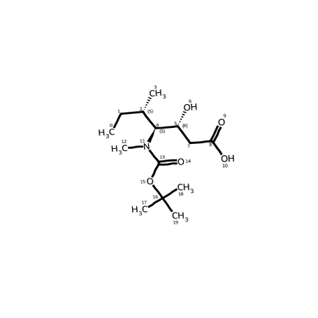 CC[C@H](C)[C@@H]([C@H](O)CC(=O)O)N(C)C(=O)OC(C)(C)C